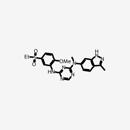 CCS(=O)(=O)c1ccc(OC)c(Nc2ncnc(N(C)c3ccc4c(C)n[nH]c4c3)n2)c1